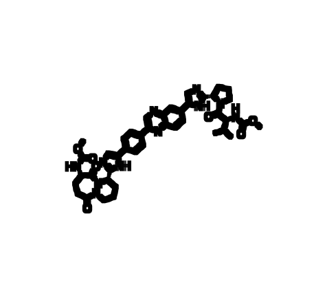 COC(=O)N[C@H]1CCC(=O)N2CCC[C@@H](c3ncc(-c4ccc(-c5cnc6cc(-c7cnc([C@@H]8CCCN8C(=O)[C@@H](NC(=O)OC)C(C)C)[nH]7)ccc6n5)cc4)[nH]3)N2C1=O